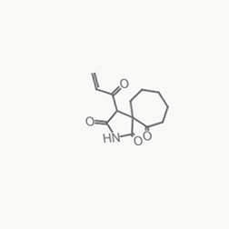 C=CC(=O)C1C(=O)NC(=O)C12CCCCCC2=O